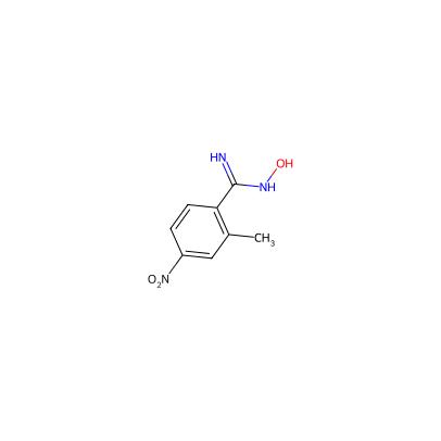 Cc1cc([N+](=O)[O-])ccc1C(=N)NO